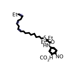 CC/C=C\C/C=C\C/C=C\CCCCCCCCSC(CC)(CC)C(=O)Nc1ccc(N=O)c(C(=O)O)c1